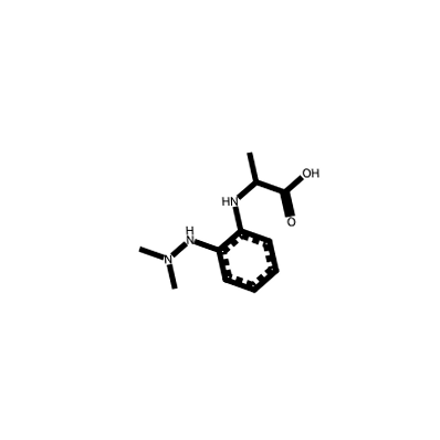 CC(Nc1ccccc1NN(C)C)C(=O)O